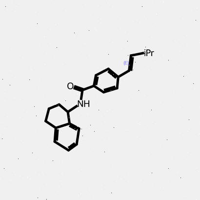 CC(C)/C=C/c1ccc(C(=O)NC2CCCc3ccccc32)cc1